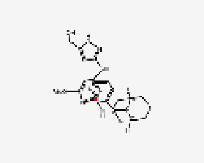 COc1cc(Nc2cc(CO)[nH]n2)nc(N[C@H]2C[C@H]3CCC[C@@H](C2)N3Cc2cccnc2)n1